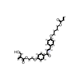 C=CC(=O)OCCCCOc1ccc(/C=C/C(=O)c2ccc(OCCOC(=O)C(=C)CO)cc2)cc1